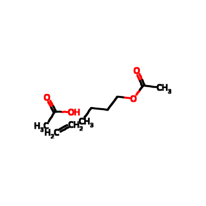 C=C.CC(=O)O.CCCCOC(C)=O